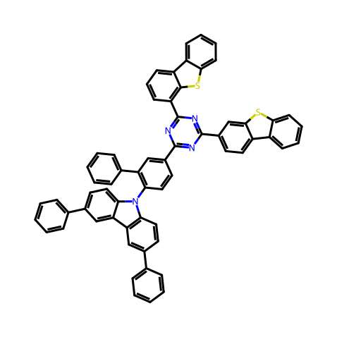 c1ccc(-c2ccc3c(c2)c2cc(-c4ccccc4)ccc2n3-c2ccc(-c3nc(-c4ccc5c(c4)sc4ccccc45)nc(-c4cccc5c4sc4ccccc45)n3)cc2-c2ccccc2)cc1